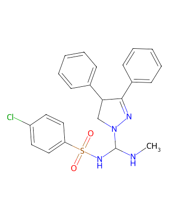 CNC(NS(=O)(=O)c1ccc(Cl)cc1)N1CC(c2ccccc2)C(c2ccccc2)=N1